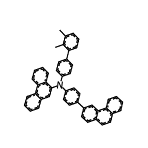 Cc1cccc(-c2ccc(N(c3ccc(-c4ccc5ccc6ccccc6c5c4)cc3)c3cc4ccccc4c4ccccc34)cc2)c1C